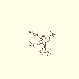 C[Si](C)(C)C=C[C](=CC[Si](C)(C)C)[Zr]([CH3])([CH3])(=[SiH2])[C](C=C[Si](C)(C)C)=CC[Si](C)(C)C.Cl.Cl